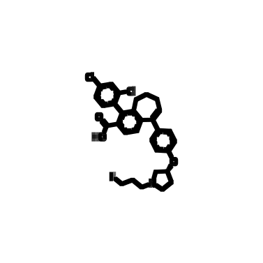 O=C(O)c1ccc2c(c1-c1ccc(Cl)cc1Cl)CCCC=C2c1ccc(O[C@H]2CCN(CCCF)C2)cc1